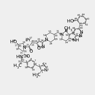 Cc1ncsc1-c1ccc([C@H](C)NC(=O)[C@@H]2C[C@@H](O)CN2C(=O)[C@@H](c2cc(N3CCC(CN4CCc5[nH]c6nnc(-c7ccccc7O)cc6c5[C@H]4C)CC3)no2)C(C)C)cc1